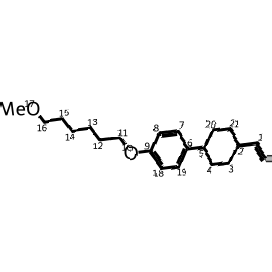 C=CC1CCC(c2ccc(OCCCCCCOC)cc2)CC1